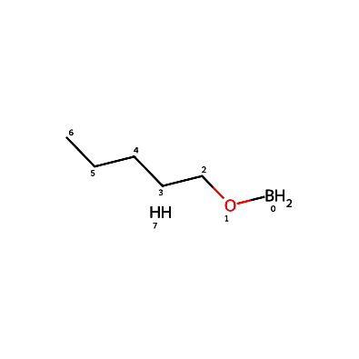 BOCCCCC.[HH]